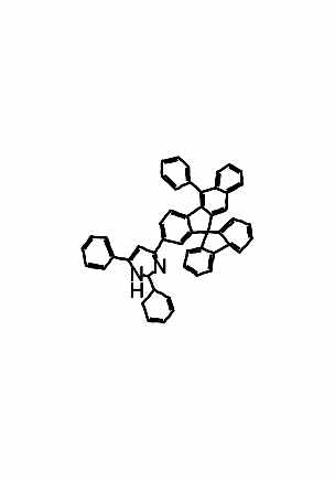 C1=CCC(C2N=C(c3ccc4c(c3)C3(c5ccccc5-c5ccccc53)c3cc5ccccc5c(-c5ccccc5)c3-4)C=C(c3ccccc3)N2)C=C1